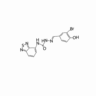 O=C(N/N=C/c1ccc(O)c(Br)c1)Nc1cccc2nsnc12